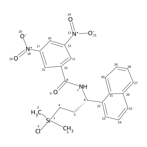 C[Si](C)(Cl)CC[C@H](NC(=O)c1cc([N+](=O)[O-])cc([N+](=O)[O-])c1)c1cccc2ccccc12